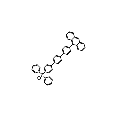 O=P(c1ccccc1)(c1ccccc1)c1ccc(-c2ccc(-c3ccc(-c4c5ccccc5cc5ccccc45)cc3)cc2)cc1